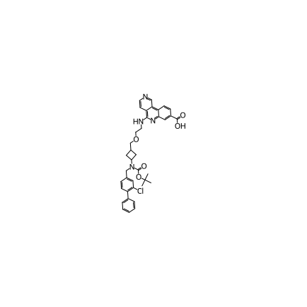 CC(C)(C)OC(=O)N(Cc1ccc(-c2ccccc2)c(Cl)c1)C1CC(COCCNc2nc3cc(C(=O)O)ccc3c3cnccc23)C1